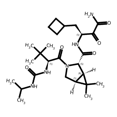 CC(C)NC(=O)N[C@H](C(=O)N1C[C@H]2[C@@H]([C@H]1C(=O)N[C@@H](CC1CCC1)C(=O)C(N)=O)C2(C)C)C(C)(C)C